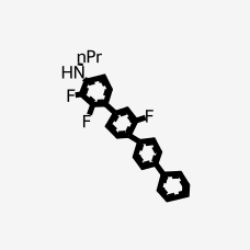 CCCNc1ccc(-c2ccc(-c3ccc(-c4ccccc4)cc3)c(F)c2)c(F)c1F